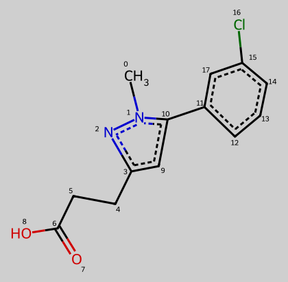 Cn1nc(CCC(=O)O)cc1-c1cccc(Cl)c1